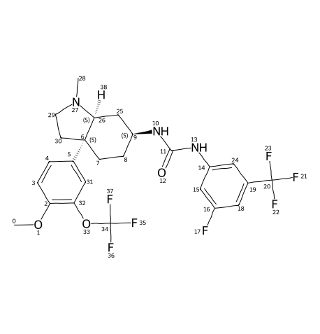 COc1ccc([C@@]23CC[C@H](NC(=O)Nc4cc(F)cc(C(F)(F)F)c4)C[C@@H]2N(C)CC3)cc1OC(F)(F)F